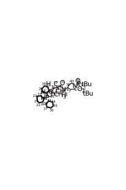 CC(C)(C)COP(=O)(N1CCC(NC(=O)C(C)(C)CC(C)(C)C[PH](c2ccccc2)(c2ccccc2)c2ccccc2)CC1)C(C)(C)C